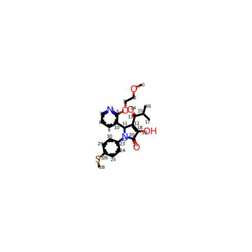 COCCOc1ncccc1C1C(C(=O)C(C)C)=C(O)C(=O)N1c1ccc(SC)cc1